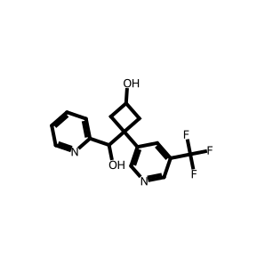 OC1CC(c2cncc(C(F)(F)F)c2)(C(O)c2ccccn2)C1